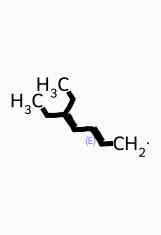 [CH2]/C=C/C=C(CC)CC